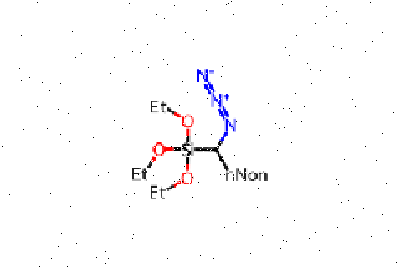 CCCCCCCCCC(N=[N+]=[N-])[Si](OCC)(OCC)OCC